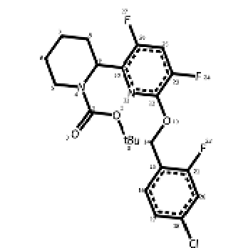 CC(C)(C)OC(=O)N1CCCCC1c1nc(OCc2ccc(Cl)cc2F)c(F)cc1F